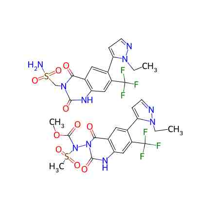 CCn1nccc1-c1cc2c(=O)n(CS(N)(=O)=O)c(=O)[nH]c2cc1C(F)(F)F.CCn1nccc1-c1cc2c(=O)n(N(C(=O)OC)S(C)(=O)=O)c(=O)[nH]c2cc1C(F)(F)F